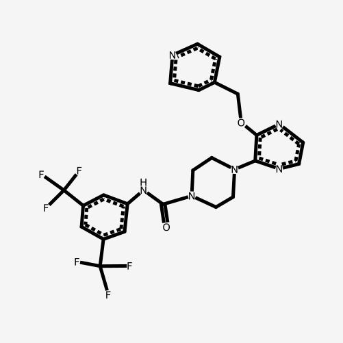 O=C(Nc1cc(C(F)(F)F)cc(C(F)(F)F)c1)N1CCN(c2nccnc2OCc2ccncc2)CC1